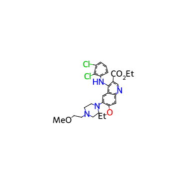 CCOC(=O)c1cnc2cc(OCC)c(N3CCN(CCOC)CC3)cc2c1Nc1cccc(Cl)c1Cl